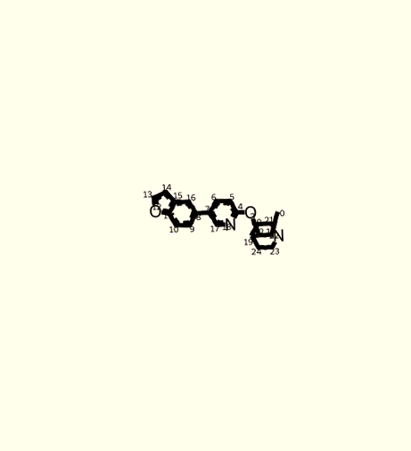 CC1C(Oc2ccc(-c3ccc4occc4c3)cn2)C2CCN1CC2